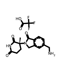 C[C@@]1(N2Cc3cc(CN)ccc3C2=O)CCC(=O)NC1=O.O=C(O)C(F)(F)F